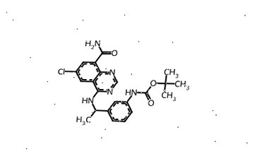 CC(Nc1ncnc2c(C(N)=O)cc(Cl)cc12)c1cccc(NC(=O)OC(C)(C)C)c1